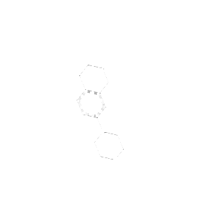 c1cc2c(cc1N1CCOCC1)CNCC2